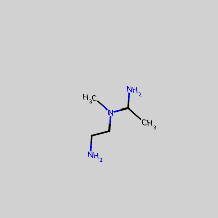 CC(N)N(C)CCN